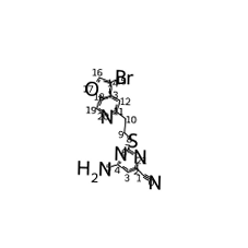 N#Cc1cc(N)nc(SCCc2cc3c(Br)coc3cn2)n1